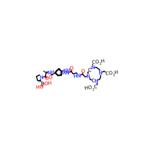 C[C@@H](NC(=O)c1ccc(NNC(=O)CCNC(=O)CN2CCN(CC(=O)O)CCN(CC(=O)O)CCN(CC(=O)O)CC2)cc1)C(=O)N1CCC[C@H]1B(O)O